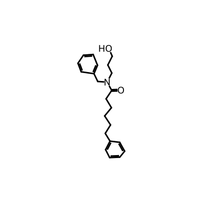 O=C(CCCCCc1ccccc1)N(CCCO)Cc1ccccc1